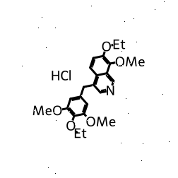 CCOc1ccc2c(Cc3cc(OC)c(OCC)c(OC)c3)cncc2c1OC.Cl